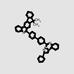 CC1(C)c2ccccc2-c2cc3c(cc21)c(-c1ccc(-c2ccc(-c4nc5ccccc5c5cc(-c6ccccc6)nn45)cc2)cc1)nc1ccccc13